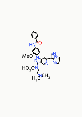 COc1cc(NC(=O)c2ccccc2)ccc1-n1nc(N(CCN(C)C)C(=O)O)c2cnc(-c3cnn4cccnc34)cc21